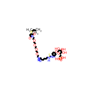 C=CCC(C)(C)SC1CC(=O)N(CCOCCOCCOCCOCCn2cc(CCCCNC(=S)Nc3ccc(O[C@H]4O[C@H](CCP(=O)(O)O)[C@@H](O)[C@H](O)[C@@H]4O)cc3)nn2)C1=O